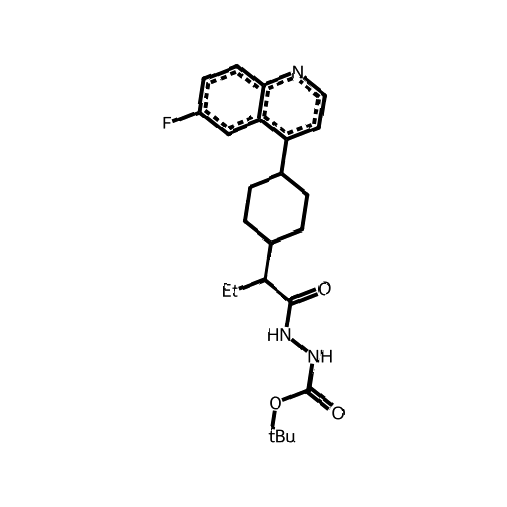 CCC(C(=O)NNC(=O)OC(C)(C)C)C1CCC(c2ccnc3ccc(F)cc23)CC1